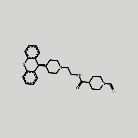 O=CN1CCC(C(=O)NCCN2CCC(=C3c4ccccc4Sc4ccccc43)CC2)CC1